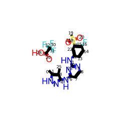 Cc1[nH]nc(Nc2ccnc(Nc3ccc(F)c(S(C)(=O)=O)c3)n2)c1C.O=C(O)C(F)(F)F